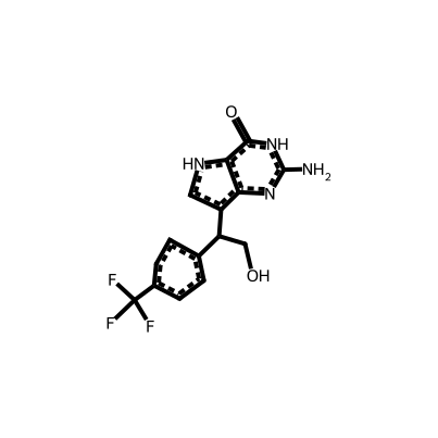 Nc1nc2c(C(CO)c3ccc(C(F)(F)F)cc3)c[nH]c2c(=O)[nH]1